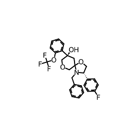 O[C@]1(c2ccccc2OC(F)(F)F)COCC2(C1)OC[C@H](c1ccc(F)cc1)N2Cc1ccccc1